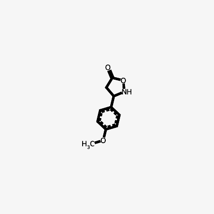 COc1ccc(C2CC(=O)ON2)cc1